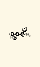 Nc1ncc(-c2ccc(C3CCOCC3)c([C@@H]3CCCN3)c2)cc1-c1ccncn1